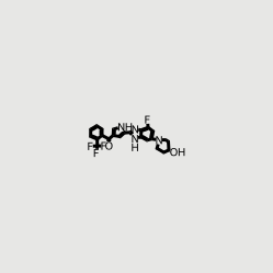 O=C(c1c[nH]c(-c2nc3c(F)cc(N4CCC(O)CC4)cc3[nH]2)c1)c1ccccc1C(F)(F)F